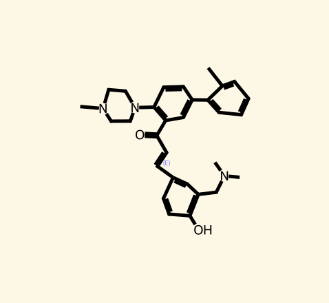 Cc1ccccc1-c1ccc(N2CCN(C)CC2)c(C(=O)/C=C/c2ccc(O)c(CN(C)C)c2)c1